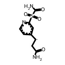 NC(=O)C[CH]c1ccnc(S(=O)(=O)C(N)=O)c1